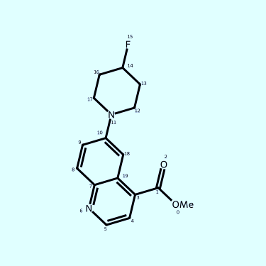 COC(=O)c1ccnc2ccc(N3CCC(F)CC3)cc12